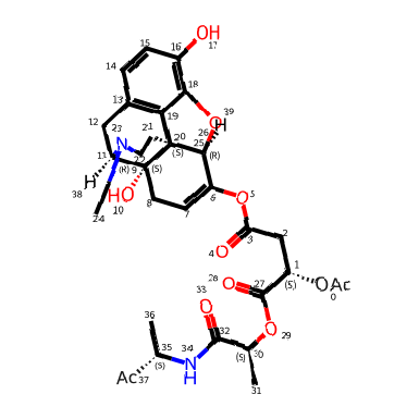 CC(=O)O[C@@H](CC(=O)OC1=CC[C@@]2(O)[C@H]3Cc4ccc(O)c5c4[C@@]2(CCN3C)[C@H]1O5)C(=O)O[C@@H](C)C(=O)N[C@@H](C)C(C)=O